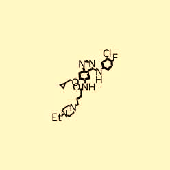 CCN1CCN(C/C=C/C(=O)Nc2cc3c(Nc4ccc(F)c(Cl)c4)ncnc3cc2OCC2CC2)CC1